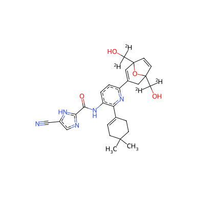 [2H]C([2H])(O)C12C=CC(C([2H])([2H])O)(CC(c3ccc(NC(=O)c4ncc(C#N)[nH]4)c(C4=CCC(C)(C)CC4)n3)=C1)O2